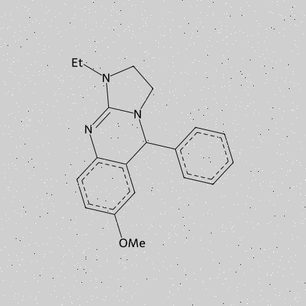 CCN1CCN2C1=Nc1ccc(OC)cc1C2c1ccccc1